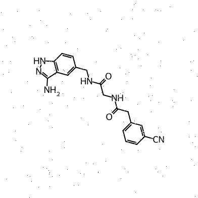 N#Cc1cccc(CC(=O)NCC(=O)NCc2ccc3[nH]nc(N)c3c2)c1